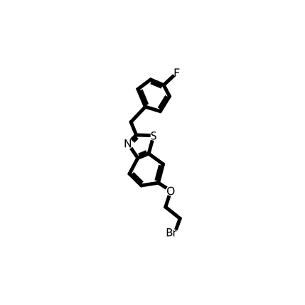 Fc1ccc(Cc2nc3ccc(OCCBr)cc3s2)cc1